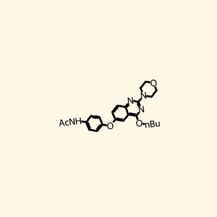 CCCCOc1nc(N2CCOCC2)nc2ccc(Oc3ccc(NC(C)=O)cc3)cc12